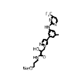 COCCCNC(=O)C(O)Cn1cc(-c2cc(C)cc(Nc3nccc(C(F)(F)F)n3)c2)cn1